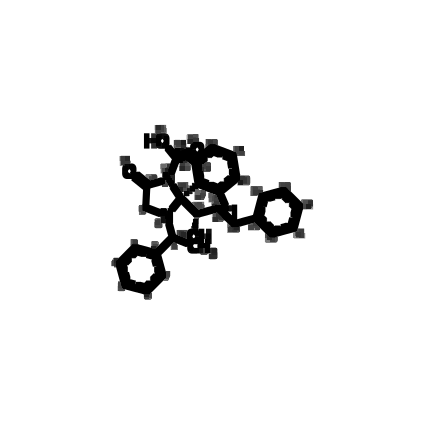 CC(c1ccccc1)N1CC(=O)N(C(=O)O)[C@@]1(c1c(Cl)cccc1Cl)[C@@H](O)CCc1ccccc1